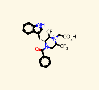 O=C(O)CN1C(C(F)(F)F)CN(C(=O)c2ccccc2)[C@H](Cc2c[nH]c3ccccc23)C1C(F)(F)F